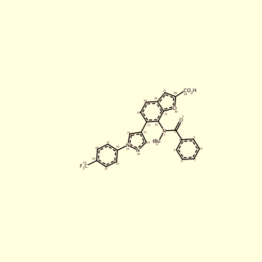 CC(C)(C)N(C(=O)c1ccccc1)c1c(-c2cnn(-c3ccc(C(F)(F)F)cc3)c2)ccc2cc(C(=O)O)oc12